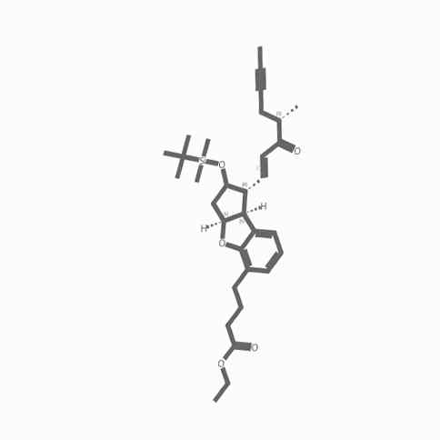 CC#CC[C@H](C)C(=O)/C=C/[C@H]1C(O[Si](C)(C)C(C)(C)C)C[C@@H]2Oc3c(CCCC(=O)OCC)cccc3[C@@H]21